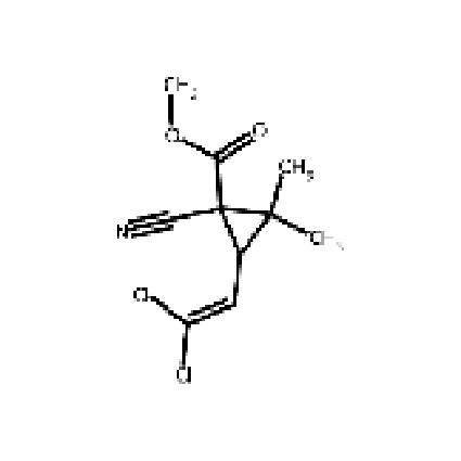 COC(=O)C1(C#N)C(C=C(Cl)Cl)C1(C)C